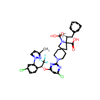 Cc1ccn(-c2cc(Cl)ccc2[C@@H](Oc2cc(Cl)nc(N3CCC4(CC3)CN(C(=O)O)C(C(=O)O)(C(C)Cc3ccccc3)C4)n2)C(F)(F)F)n1